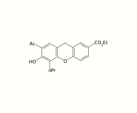 CCCc1c(O)c(C(C)=O)cc2c1Oc1ccc(C(=O)OCC)cc1C2